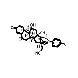 C[C@]12C=CC(=O)C=C1[C@@H](F)C[C@H]1[C@@H]3C[C@H]4CN(c5ccc(Cl)cc5)O[C@@]4(C(=O)SCC#N)[C@@]3(C)C[C@H](O)[C@@]12F